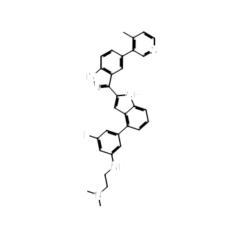 Cc1ccncc1-c1ccc2[nH]nc(-c3cc4c(-c5cc(F)cc(NCCN(C)C)c5)cccc4[nH]3)c2c1